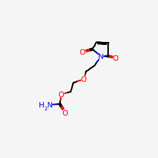 NC(=O)OCCOCCN1C(=O)C=CC1=O